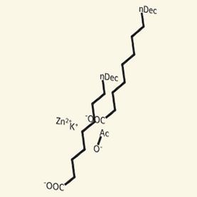 CC(=O)[O-].CCCCCCCCCCCCCCCCCC(=O)[O-].CCCCCCCCCCCCCCCCCC(=O)[O-].[K+].[Zn+2]